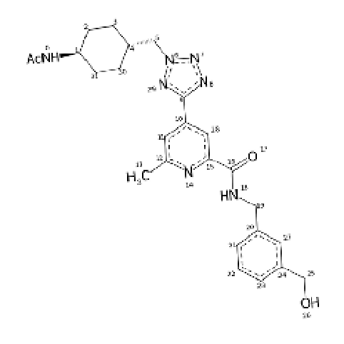 CC(=O)N[C@H]1CC[C@H](Cn2nnc(-c3cc(C)nc(C(=O)NCc4cccc(CO)c4)c3)n2)CC1